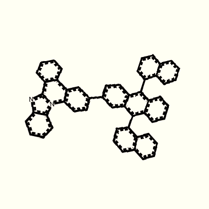 c1ccc2c(-c3c4ccccc4c(-c4cccc5ccccc45)c4cc(-c5ccc6c(c5)c5ccccc5c5nc7ccccc7n65)ccc34)cccc2c1